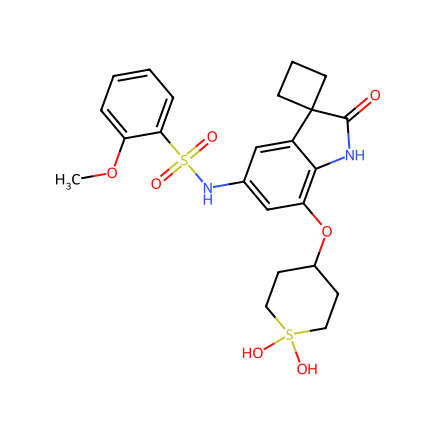 COc1ccccc1S(=O)(=O)Nc1cc(OC2CCS(O)(O)CC2)c2c(c1)C1(CCC1)C(=O)N2